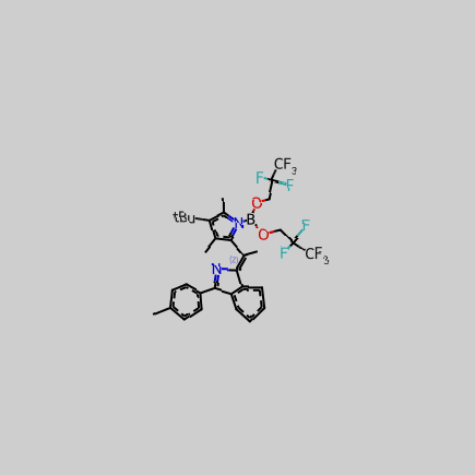 C/C(=C1/N=C(c2ccc(C)cc2)c2ccccc21)c1c(C)c(C(C)(C)C)c(C)n1B(OCC(F)(F)C(F)(F)F)OCC(F)(F)C(F)(F)F